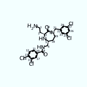 NCC[C@@H]1N[C@H](CNC(=O)c2ccc(Cl)c(Cl)c2)CCN(Cc2cc(Cl)cc(Cl)c2)C1=O